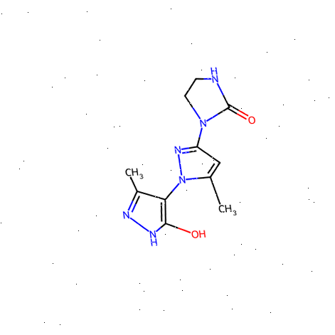 Cc1n[nH]c(O)c1-n1nc(N2CCNC2=O)cc1C